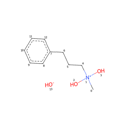 C[N+](O)(O)CCCc1ccccc1.[OH-]